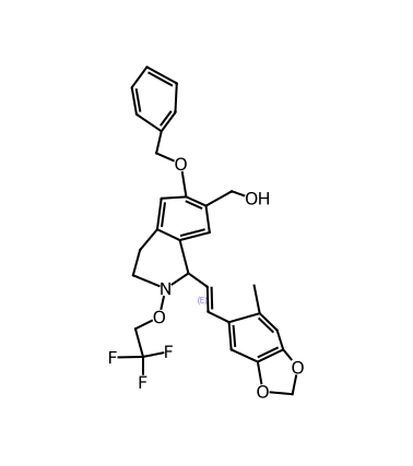 Cc1cc2c(cc1/C=C/C1c3cc(CO)c(OCc4ccccc4)cc3CCN1OCC(F)(F)F)OCO2